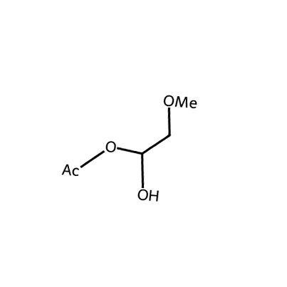 COCC(O)OC(C)=O